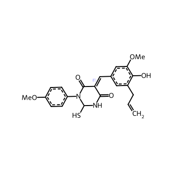 C=CCc1cc(/C=C2\C(=O)NC(S)N(c3ccc(OC)cc3)C2=O)cc(OC)c1O